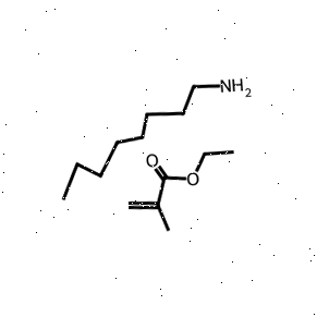 C=C(C)C(=O)OCC.CCCCCCCCN